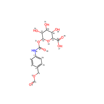 O=COCc1ccc(NC(=O)OC2OC(C(=O)O)C(O)C(O)C2O)cc1